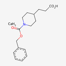 O=C(O)CCC1CCN(C(=O)OCc2ccccc2)CC1.[CaH2]